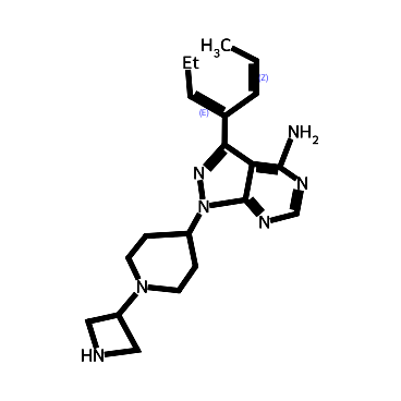 C/C=C\C(=C/CC)c1nn(C2CCN(C3CNC3)CC2)c2ncnc(N)c12